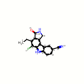 CCc1c2c(c3c([nH]c4ccc(C#N)cc43)c1F)CNC2=O